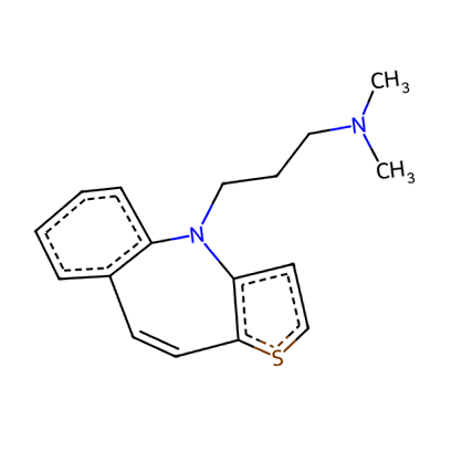 CN(C)CCCN1c2ccccc2C=Cc2sccc21